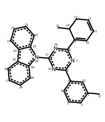 Cc1cccc(-c2nc(C3=CC=CCC3C)nc(-n3c4ccccc4c4ccccc43)n2)c1